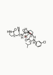 CC(C)C[C@H](Nc1cccc(Cl)c1)C(=O)N1[C@H]2CC[C@@H]([C@@H]1C(=O)N[C@H](C#N)C[C@H]1CCNC1=O)C(F)(F)C2